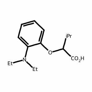 CCN(CC)c1ccccc1OC(C(=O)O)C(C)C